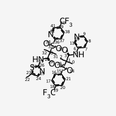 CC(C)(C(=O)Nc1cccnc1)S(=O)(=O)c1ccc(C(F)(F)F)cc1.Cc1cnc(NC(=O)C(C)(C)S(=O)(=O)c2ccc(C(F)(F)F)cn2)s1